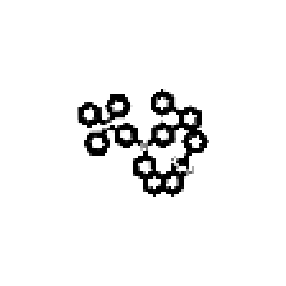 c1ccc(-c2nc3ccc4ccc5ccc(N(c6ccc(-c7ccccc7-c7ccccc7)cc6)c6ccc(S(c7ccccc7)(c7ccccc7)c7ccccc7)cc6)cc5c4c3o2)cc1